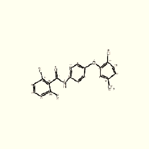 O=C(Nc1ccc(Oc2cc(C(F)(F)F)ccc2Cl)cn1)c1c(F)cccc1F